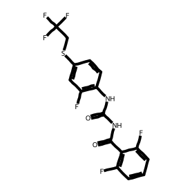 O=C(NC(=O)c1c(F)cccc1F)Nc1ccc(SCC(F)(F)F)cc1F